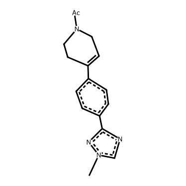 CC(=O)N1CC=C(c2ccc(-c3ncn(C)n3)cc2)CC1